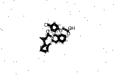 Cc1ccccc1C1CC1C(=O)N1CCc2ccccc2[C@H]1c1cc(Cl)ccc1OCC(=O)O